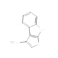 COc1csc2oc3ccccc3c12